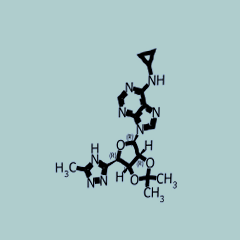 Cc1nnc([C@H]2O[C@@H](n3cnc4c(NC5CC5)ncnc43)[C@@H]3OC(C)(C)O[C@@H]32)[nH]1